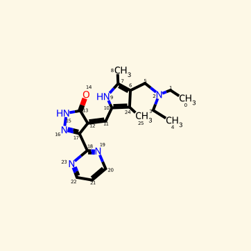 CCN(CC)Cc1c(C)[nH]c(C=C2C(=O)NN=C2c2ncccn2)c1C